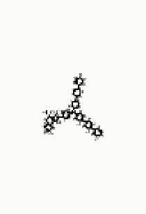 CC1(C)C(c2ccc(N(c3ccc(-c4ccc(-c5ccccc5)cc4)cc3)c3ccc(-c4ccc(-c5ccccc5)cc4)cc3)cc2)=Cc2c1ccc1ccccc21